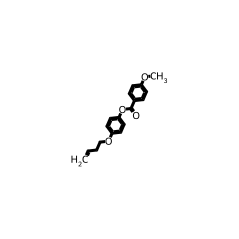 C=CCCOc1ccc(OC(=O)c2ccc(OC)cc2)cc1